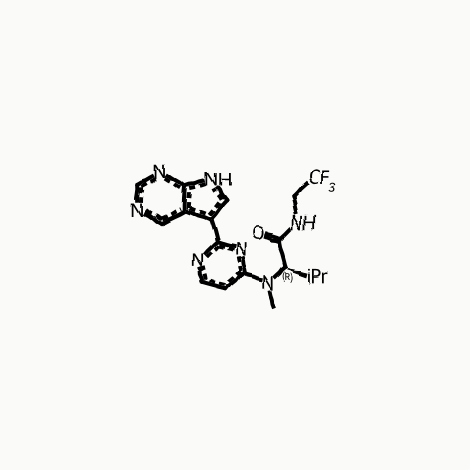 CC(C)[C@H](C(=O)NCC(F)(F)F)N(C)c1ccnc(-c2c[nH]c3ncncc23)n1